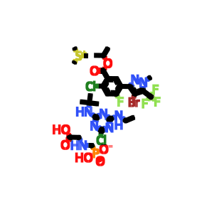 CC(C)OC(=O)c1cc(-c2nn(C)c(C(F)(F)F)c2Br)c(F)cc1Cl.CCNc1nc(Cl)nc(NC(C)(C)C)n1.C[S+](C)C.O=C(O)CNCP(=O)([O-])O